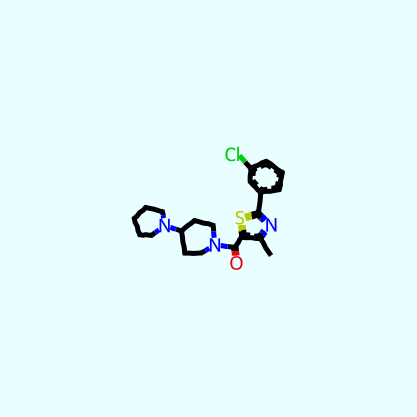 Cc1nc(-c2cccc(Cl)c2)sc1C(=O)N1CCC(N2CCCCC2)CC1